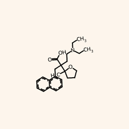 CCN(CC)CCC(Cc1cccc2ccccc12)(C(=O)O)C1(C)CCCO1